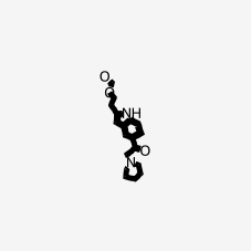 O=COCCc1cc2cc(C(=O)CN3CCCCC3)ccc2[nH]1